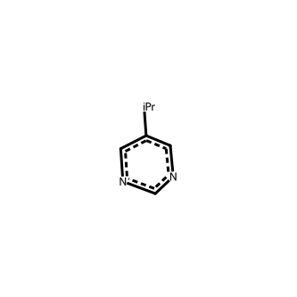 CC(C)c1cncnc1